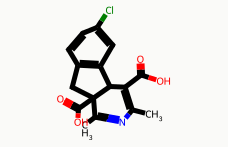 CC1=NC(C)=C(C(=O)O)C2c3cc(Cl)ccc3CC12C(=O)O